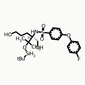 CC(C)(C)[SiH2]OC(C)(C)[C@@](CO)(CCCO)NS(=O)(=O)c1ccc(Oc2ccc(F)cc2)cc1